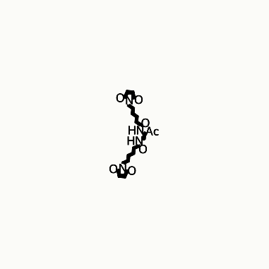 CC(=O)[C@@H](CNC(=O)CCCCCN1C(=O)C=CC1=O)NC(=O)CCCCCN1C(=O)C=CC1=O